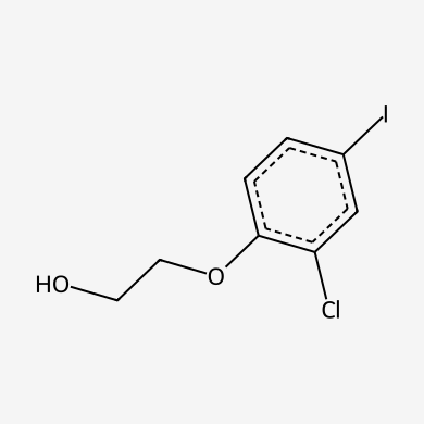 OCCOc1ccc(I)cc1Cl